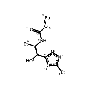 CCc1nnc(C(O)[C@@H](CC)NC(=O)OC(C)(C)C)o1